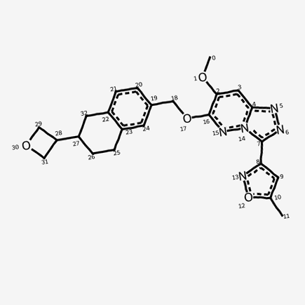 COc1cc2nnc(-c3cc(C)on3)n2nc1OCc1ccc2c(c1)CCC(C1COC1)C2